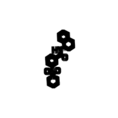 O=C(N[C@H]1CCCc2ccccc21)c1cccc(S(=O)(=O)N2CCCCC2)c1